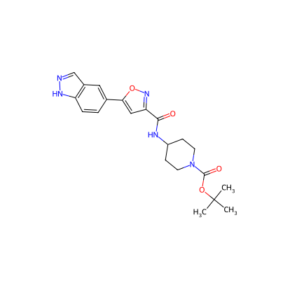 CC(C)(C)OC(=O)N1CCC(NC(=O)c2cc(-c3ccc4[nH]ncc4c3)on2)CC1